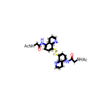 CC(=O)NCC(=O)Nc1ccc(SSc2ccc(NC(=O)CNC(C)=O)c3cccnc23)c2ncccc12